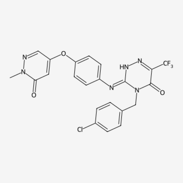 Cn1ncc(Oc2ccc(/N=c3\[nH]nc(C(F)(F)F)c(=O)n3Cc3ccc(Cl)cc3)cc2)cc1=O